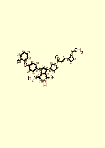 CCN1CC[C@@H]1/C=C/C(=O)N1CC[C@@H](c2cn(-c3ccc(Oc4ccccc4F)cc3)c3c(N)n[nH]c(=O)c23)C1